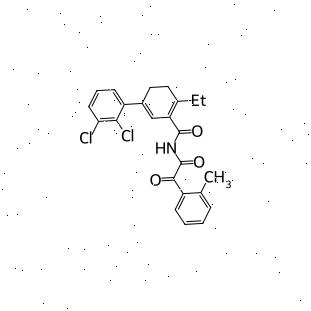 CCC1=C(C(=O)NC(=O)C(=O)c2ccccc2C)C=C(c2cccc(Cl)c2Cl)CC1